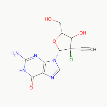 C#C[C@@]1(Cl)C(O)[C@@H](CO)O[C@H]1n1cnc2c(=O)[nH]c(N)nc21